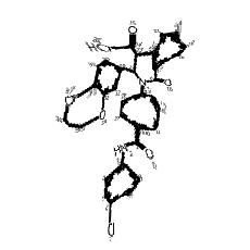 O=C(Nc1ccc(Cl)cc1)c1ccc(N2C(=O)c3ccccc3C(C(=O)O)C2c2ccc3c(c2)OCCO3)cc1